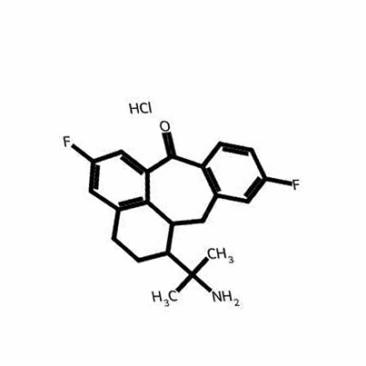 CC(C)(N)C1CCc2cc(F)cc3c2C1Cc1cc(F)ccc1C3=O.Cl